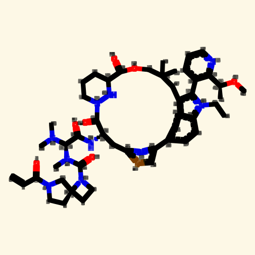 C=CC(=O)N1CC[C@@]2(CCN2C(=O)N(C)[C@H](C(=O)N[C@H]2Cc3nc(cs3)-c3ccc4c(c3)c(c(-c3cccnc3[C@H](C)OC)n4CC)CC(C)(C)COC(=O)C3CCCN(N3)C2=O)N(C)C)C1